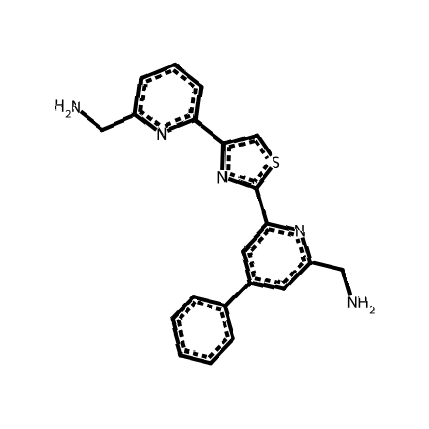 NCc1cccc(-c2csc(-c3cc(-c4ccccc4)cc(CN)n3)n2)n1